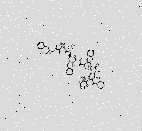 CC[C@H](C)[C@H](NC(=O)[C@H](CC(C)C)NC[C@H](Cc1ccccc1)NC(=O)N(C)C(=O)[C@H](CC(C)C)N[C@H](Cc1ccccc1)NC(=O)[C@@H](C)NC(=O)[C@H](NC(=O)[C@@H](N)[C@@H](C)O)C(=O)N1CCCCC1)C(=O)NC[C@@H](CC(C)=O)Cc1ccccc1